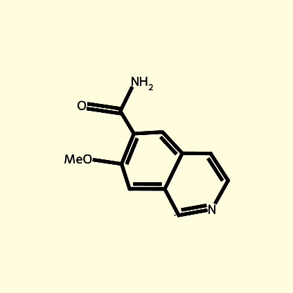 COc1cc2[c]nccc2cc1C(N)=O